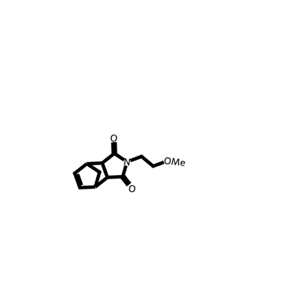 COCCN1C(=O)C2C3C=CC(C3)C2C1=O